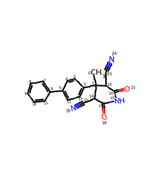 CC1(c2ccc(-c3ccccc3)cc2)C(C#N)C(=O)NC(=O)C1C#N